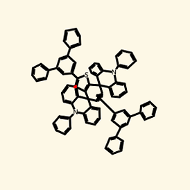 c1ccc(-c2cc(-c3ccccc3)cc(-c3cc4c(s3)C3(c5ccccc5N(c5ccccc5)c5ccccc53)c3cc(-c5cc(-c6ccccc6)cc(-c6ccccc6)c5)sc3C43c4ccccc4N(c4ccccc4)c4ccccc43)c2)cc1